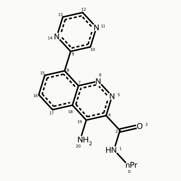 CCCNC(=O)c1nnc2c(-c3cnccn3)cccc2c1N